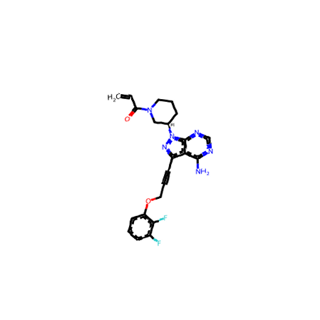 C=CC(=O)N1CCC[C@@H](n2nc(C#CCOc3cccc(F)c3F)c3c(N)ncnc32)C1